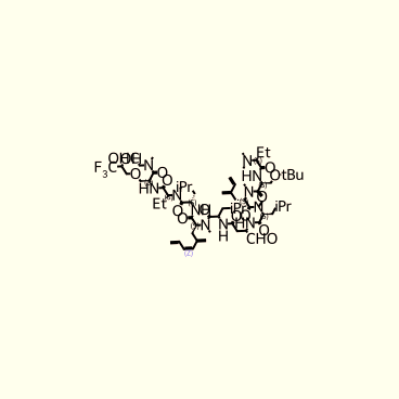 C=C/C=C\C(=C)C[C@@H](C(=O)N[C@@H](CC(C)C)C(=O)N(C)[C@@H](CC)C(=O)N[C@@H](COCC(O)C(F)(F)F)C(=O)N(C)CC=O)N(C)C(=O)C(CC(C)C)NC(=O)CC(C=O)NC(=O)[C@H](CC(C)C)N(C)C(=O)[C@H](CC(=C)C=C)N(C)C(=O)[C@H](COC(C)(C)C)NC(=O)[C@H](CC)N(C)C